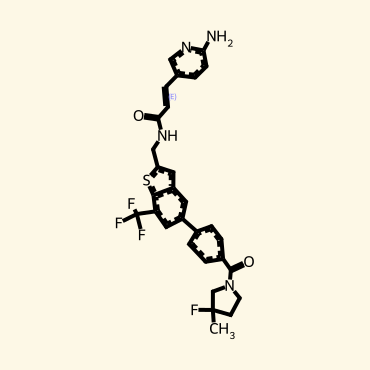 CC1(F)CCN(C(=O)c2ccc(-c3cc(C(F)(F)F)c4sc(CNC(=O)/C=C/c5ccc(N)nc5)cc4c3)cc2)C1